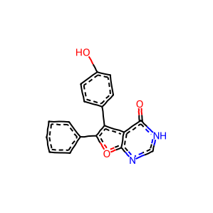 O=c1[nH]cnc2oc(-c3ccccc3)c(-c3ccc(O)cc3)c12